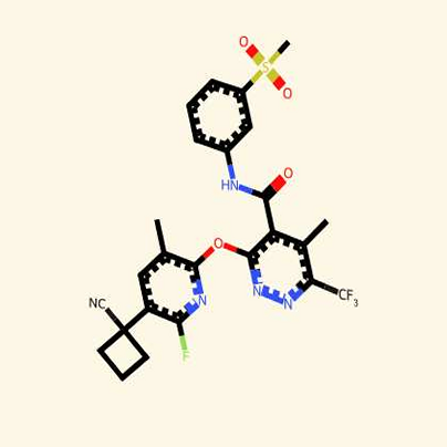 Cc1cc(C2(C#N)CCC2)c(F)nc1Oc1nnc(C(F)(F)F)c(C)c1C(=O)Nc1cccc(S(C)(=O)=O)c1